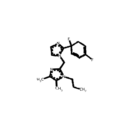 CCCn1c(Cn2ccnc2C2(F)C=CC(F)=CC2)nc(C)c1C